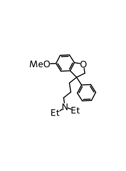 CCN(CC)CCCC1(c2ccccc2)COc2ccc(OC)cc21